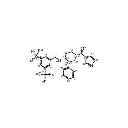 O=C(N1CC[C@@H](OCc2cc(C(F)(F)F)cc(C(F)(F)F)c2)[C@@H](c2ccccc2)C1)n1ccnc1